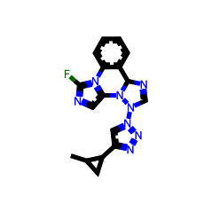 CC1CC1c1cn(N2C=NC3c4ccccc4-n4c(cnc4F)N32)nn1